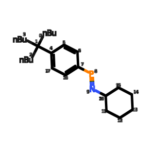 CCCCC(CCCC)(CCCC)c1ccc(P=NC2CCCCC2)cc1